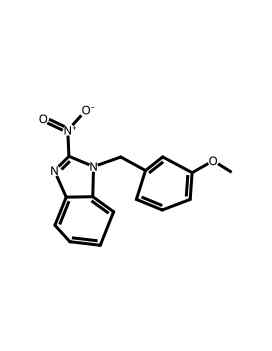 COc1cccc(Cn2c([N+](=O)[O-])nc3ccccc32)c1